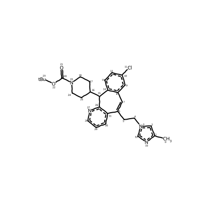 Cc1cn(CCC2=Cc3cc(Cl)ccc3C(C3CCN(C(=O)OC(C)(C)C)CC3)c3ncccc32)cn1